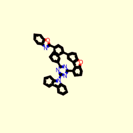 c1ccc(-c2nc(-c3cccc4oc5ccc(-c6ccc(-c7nc8ccccc8o7)cc6)cc5c34)nc(-n3c4ccccc4c4ccccc43)n2)cc1